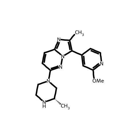 COc1cc(-c2c(C)nc3ccc(N4CCN[C@@H](C)C4)nn23)ccn1